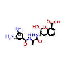 CC(NC(=O)C1C[C@H](N)[C@@H](N)C1)C(=O)N[C@H]1Cc2cccc(C(=O)O)c2OB1O